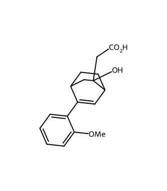 COc1ccccc1C1=CC2CCC1CC2(O)CC(=O)O